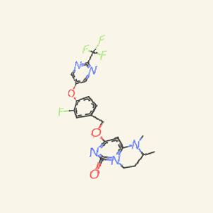 CC1CCn2c(cc(OCc3ccc(Oc4cnc(C(F)(F)F)nc4)c(F)c3)nc2=O)N1C